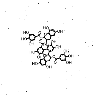 O=C(OC1Cc2c(O)cc(O)cc2OC1c1cc(O)c(O)c(O)c1-c1c(C(=O)OC2Cc3cc(O)cc(O)c3OC2OC(=O)c2cc(O)c(O)c(O)c2)cc(O)c(O)c1O)c1cc(O)c(O)c(O)c1